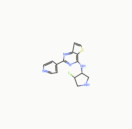 F[C@@H]1CNC[C@@H]1Nc1nc(-c2ccncc2)nc2ccsc12